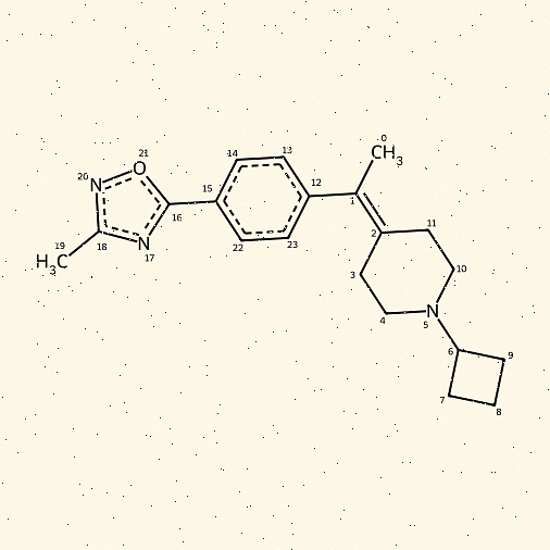 CC(=C1CCN(C2CCC2)CC1)c1ccc(-c2nc(C)no2)cc1